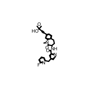 CN1C(=O)C(NC(=O)c2cc(Cc3cccc(F)n3)ccn2)CCc2ccc(C#CC3(O)COC3)cc21